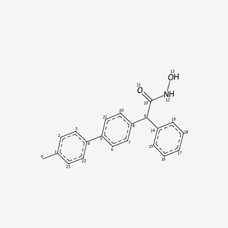 Cc1ccc(-c2ccc(C(C(=O)NO)c3ccccc3)cc2)cc1